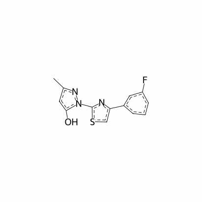 Cc1cc(O)n(-c2nc(-c3cccc(F)c3)cs2)n1